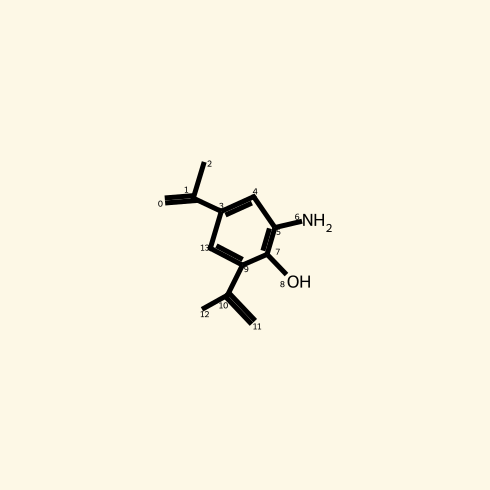 C=C(C)c1cc(N)c(O)c(C(=C)C)c1